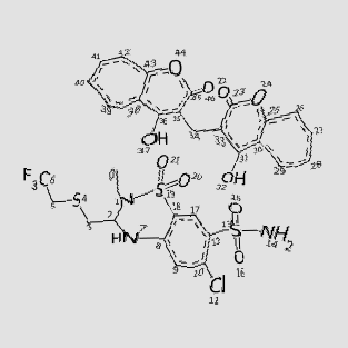 CN1C(CSCC(F)(F)F)Nc2cc(Cl)c(S(N)(=O)=O)cc2S1(=O)=O.O=c1oc2ccccc2c(O)c1Cc1c(O)c2ccccc2oc1=O